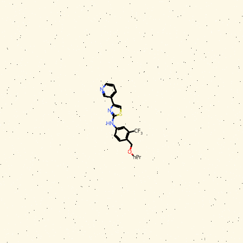 CCCOCc1ccc(Nc2nc(-c3cccnc3)cs2)cc1C(F)(F)F